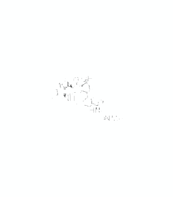 C=C1C(C)=C(C)C[C@]2(N)CC3Cc4c(-c5cccc(C(=O)NCCNC)c5)ccc(O)c4C(=O)C3=C(C)[C@]12C#N